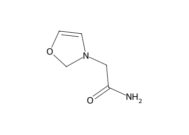 NC(=O)CN1C=COC1